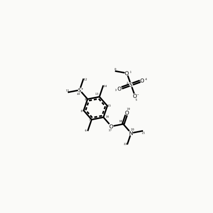 COS(=O)(=O)[O-].Cc1cc([S+](C)C)c(C)cc1OC(=O)N(C)C